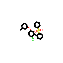 Cc1cccc(Oc2[c]cc(Cl)c(-c3ccccc3S(=O)(=O)c3ccccc3)c2)c1